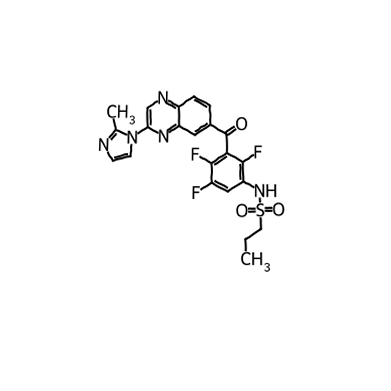 CCCS(=O)(=O)Nc1cc(F)c(F)c(C(=O)c2ccc3ncc(-n4ccnc4C)nc3c2)c1F